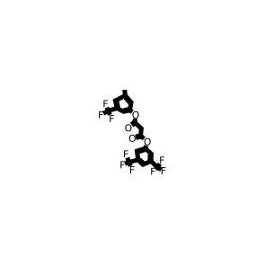 Cc1cc(OC(=O)CC(=O)Oc2cc(C(F)(F)F)cc(C(F)(F)F)c2)cc(C(F)(F)F)c1